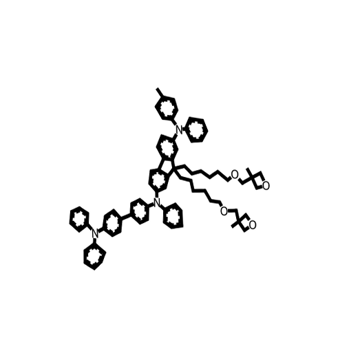 Cc1ccc(N(c2ccccc2)c2ccc3c(c2)C(CCCCCCOCC2(C)COC2)(CCCCCCOCC2(C)COC2)c2cc(N(c4ccccc4)c4ccc(-c5ccc(N(c6ccccc6)c6ccccc6)cc5)cc4)ccc2-3)cc1